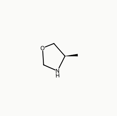 C[C@@H]1COCN1